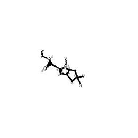 CCOC(=O)c1cc2c(n1C)CC(C)(C)C2